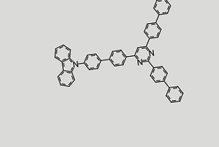 c1ccc(-c2ccc(-c3cc(-c4ccc(-c5ccc(-n6c7ccccc7c7ccccc76)cc5)cc4)nc(-c4ccc(-c5ccccc5)cc4)n3)cc2)cc1